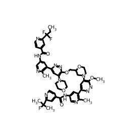 CCC(F)(F)c1cc(C(=O)Nc2cnc(C)c(-c3cc(N4CCOCC4)c(OCC4CN(c5cc(-c6cc(NC(=O)c7ccnc(C(C)(C)F)c7)cnc6C)nnc5OC)CCO4)nn3)c2)ccn1